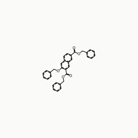 O=C(OCc1ccccc1)c1ccc2cc(OCc3ccccc3)c(C(=O)OCc3ccccc3)cc2c1